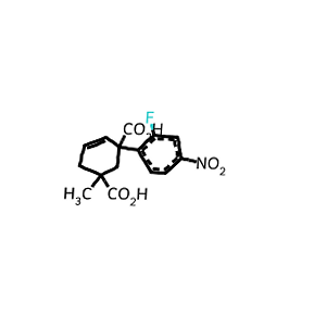 CC1(C(=O)O)CC=CC(C(=O)O)(c2ccc([N+](=O)[O-])cc2F)C1